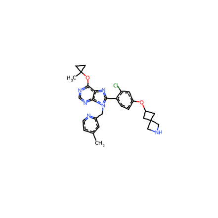 Cc1ccnc(Cn2c(-c3ccc(OC4CC5(CNC5)C4)cc3Cl)nc3c(OC4(C)CC4)ncnc32)c1